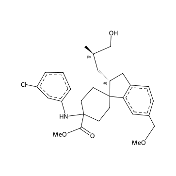 COCc1ccc2c(c1)C1(CCC(Nc3cccc(Cl)c3)(C(=O)OC)CC1)[C@H](C[C@@H](C)CO)C2